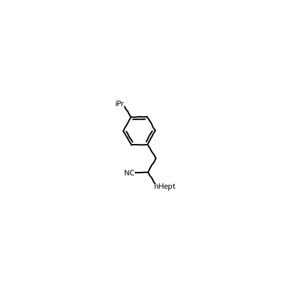 CCCCCCCC(C#N)Cc1ccc(C(C)C)cc1